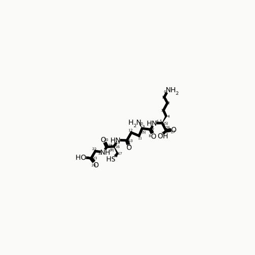 NCCCC[C@H](NC(=O)[C@@H](N)CCC(=O)N[C@@H](CS)C(=O)NCC(=O)O)C(=O)O